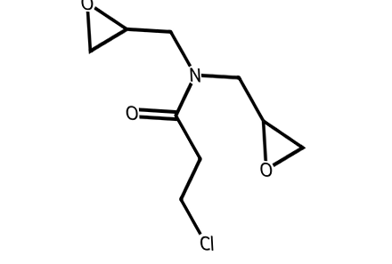 O=C(CCCl)N(CC1CO1)CC1CO1